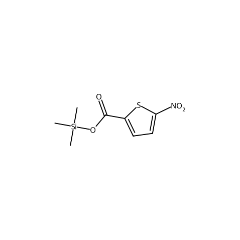 C[Si](C)(C)OC(=O)c1ccc([N+](=O)[O-])s1